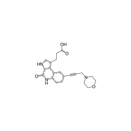 O=C(O)CCc1c[nH]c2c(=O)[nH]c3ccc(C#CCN4CCOCC4)cc3c12